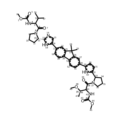 COC(=O)NC(C(=O)N1CCC[C@H]1c1ncc(-c2ccc3c(c2)C(C)(C)c2cc(-c4ccc(C5CCCN5C(=O)C(NC(=O)OC)[C@@H](C)OC)[nH]4)ccc2-3)[nH]1)C(C)C